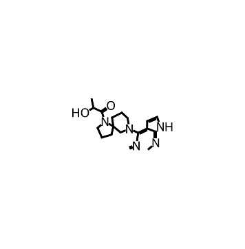 C=N/C(=C1/C=CN/C1=N/C)N1CCCC2(CCCN2C(=O)C(C)O)C1